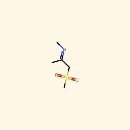 C/N=C(\C)CS(C)(=O)=O